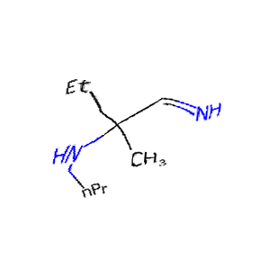 CCCNC(C)(C=N)CC